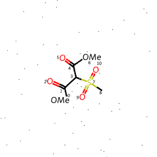 COC(=O)C(C(=O)OC)S(C)(=O)=O